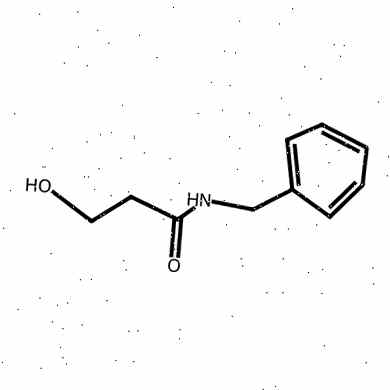 O=C(CCO)NCc1ccccc1